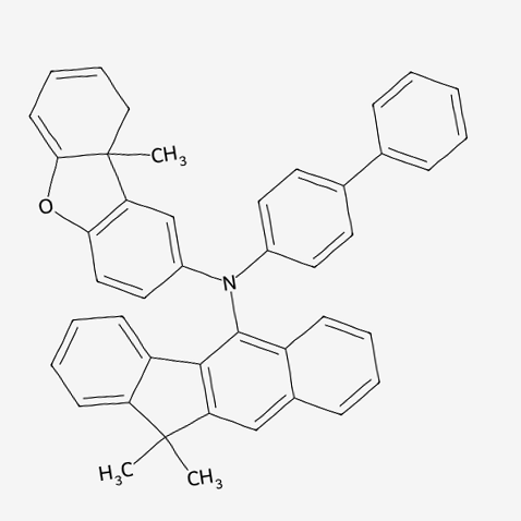 CC12CC=CC=C1Oc1ccc(N(c3ccc(-c4ccccc4)cc3)c3c4c(cc5ccccc35)C(C)(C)c3ccccc3-4)cc12